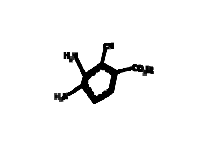 CCOC(=O)c1ccc(N)c(N)c1C#N